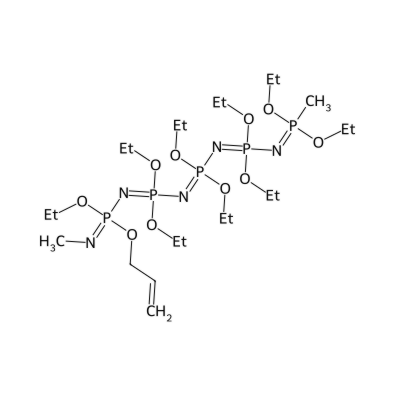 C=CCOP(=NC)(N=P(N=P(N=P(N=P(C)(OCC)OCC)(OCC)OCC)(OCC)OCC)(OCC)OCC)OCC